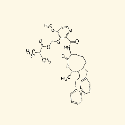 COc1ccnc(C(=O)N[C@H]2CCC[C@H](Cc3ccccc3)[C@@H](CCc3ccccc3)[C@H](C)OC2=O)c1OCOC(=O)C(C)C